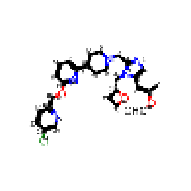 C/C(=C\c1cnc(CN2CCC(c3cccc(OCc4ccc(Cl)cn4)n3)CC2)n1C[C@@H]1CCO1)OC=O